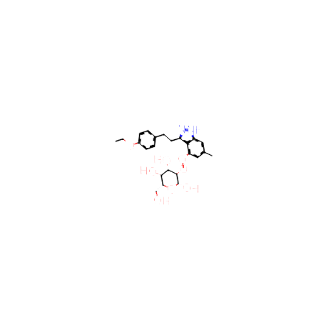 CCOc1ccc(CCc2n[nH]c3cc(C)cc(OO[C@@H]4[C@@H](O)[C@H](O)[C@@H](CO)O[C@H]4O)c23)cc1